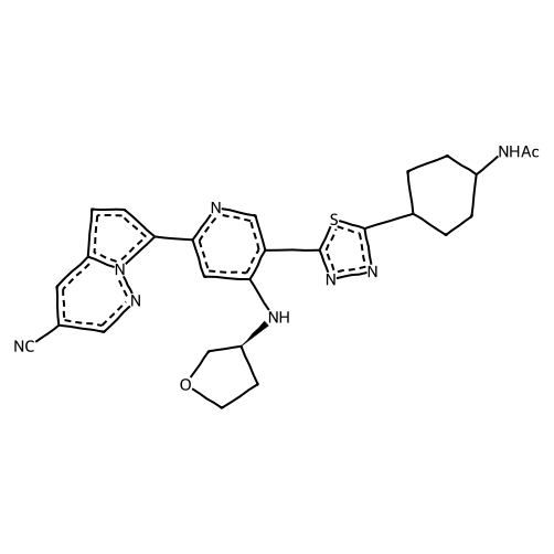 CC(=O)NC1CCC(c2nnc(-c3cnc(-c4ccc5cc(C#N)cnn45)cc3N[C@H]3CCOC3)s2)CC1